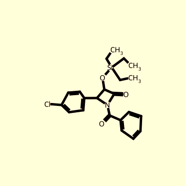 CC[Si](CC)(CC)OC1C(=O)N(C(=O)c2ccccc2)C1c1ccc(Cl)cc1